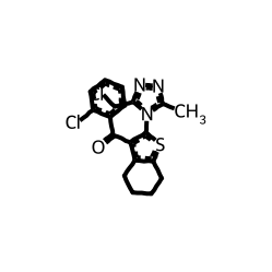 Cc1nnc(CCl)n1-c1sc2c(c1C(=O)c1ccccc1Cl)CCCC2